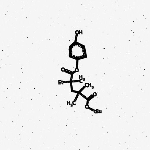 CCC(C)(CC(C)(C)C(=O)OC(C)(C)C)C(=O)Oc1ccc(O)cc1